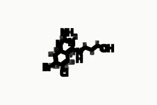 Nc1nc(NCCCO)c2cc(Cl)c(Br)cc2n1